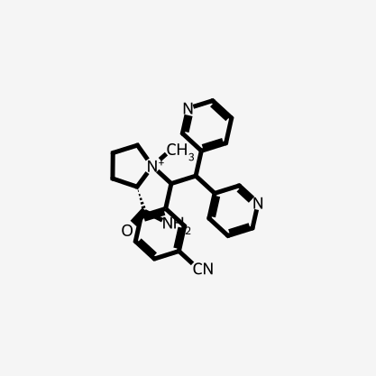 C[N+]1(C(c2cccc(C#N)c2)C(c2cccnc2)c2cccnc2)CCC[C@H]1C(N)=O